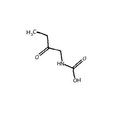 CCC(=O)CNC(=O)O